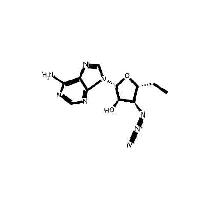 CC[C@H]1O[C@@H](n2cnc3c(N)ncnc32)[C@H](O)[C@@H]1N=[N+]=[N-]